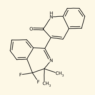 CC1(C)N=C(c2cc3ccccc3[nH]c2=O)c2ccccc2C1(F)F